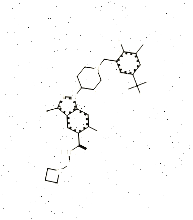 Cc1cc(C(F)(F)F)cc(CN2CCC(n3nc(C)c4cc(C(=O)NSN5CCC5)c(F)cc43)CC2)c1F